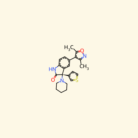 Cc1noc(C)c1-c1ccc2c(c1)[C@](c1ccsc1)(N1CCCCC1)C(=O)N2